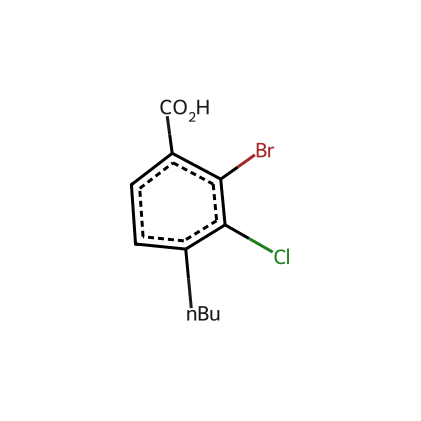 CCCCc1ccc(C(=O)O)c(Br)c1Cl